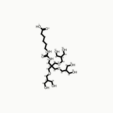 O=C(O)CCCCCNC(=O)NCC(COCC(CO)CO)(COCC(CO)CO)COCC(CO)CO